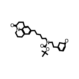 CC(C)(C)OC(=O)N(CCCCCc1cc2c3c(c1)CCC(=O)N3CCC2)CCC1=CC=CC(=O)C1